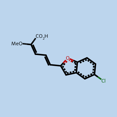 COC(=CC=Cc1cc2cc(Cl)ccc2o1)C(=O)O